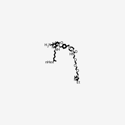 CCCCCCC(C)CCCCCNc1nc(N)nc2ccn(Cc3ccc(CN4CCN(C(=O)NCCOCCOCCOCCn5cc(CC)nn5)CC4)cc3OC)c12